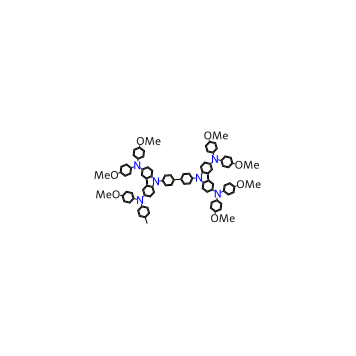 COc1ccc(N(c2ccc(C)cc2)c2ccc3c(c2)c2cc(N(c4ccc(OC)cc4)c4ccc(OC)cc4)ccc2n3-c2ccc(-c3ccc(-n4c5ccc(N(c6ccc(OC)cc6)c6ccc(OC)cc6)cc5c5cc(N(c6ccc(OC)cc6)c6ccc(OC)cc6)ccc54)cc3)cc2)cc1